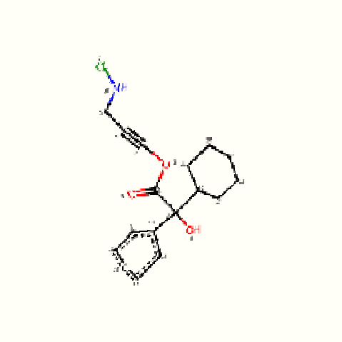 O=C(OC#CCNCl)C(O)(c1ccccc1)C1CCCCC1